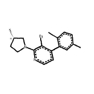 CCc1c(-c2cc(C)ccc2C)ccnc1N1CC[C@H](C)C1